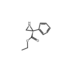 CCOC(=O)[C@@]1(c2ccccc2)CN1